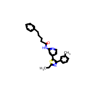 CCc1nc(-c2cccc(C)c2)c(-c2ccnc(NC(=O)CCCCc3ccccc3)c2)s1